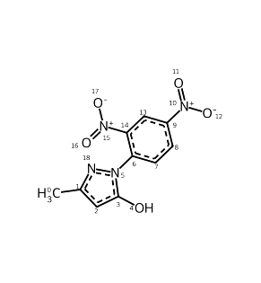 Cc1cc(O)n(-c2ccc([N+](=O)[O-])cc2[N+](=O)[O-])n1